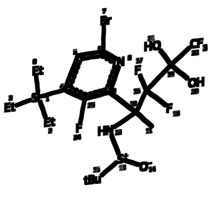 CC[Si](CC)(CC)c1cc(Br)nc(C(C)(N[S+]([O-])C(C)(C)C)C(F)(F)C(O)(O)C(F)(F)F)c1F